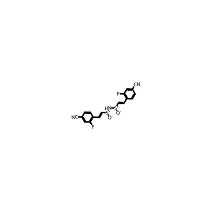 N#Cc1ccc(C=C[S+]([O-])N[S+]([O-])C=Cc2ccc(C#N)cc2F)c(F)c1